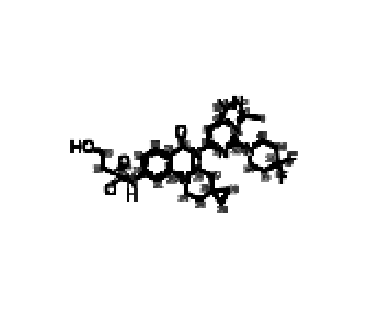 Cc1nnc2cc(NC(=O)c3ccc(NS(=O)(=O)CCO)cc3N3CCC4(CC3)CC4)nc(N3CCC(F)(F)CC3)n12